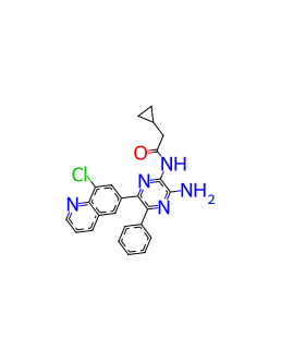 Nc1nc(-c2ccccc2)c(-c2cc(Cl)c3ncccc3c2)nc1NC(=O)CC1CC1